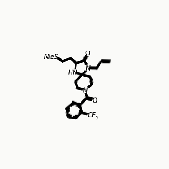 C=CCN1C(=O)C(CCSC)NC12CCN(C(=O)c1ccccc1C(F)(F)F)CC2